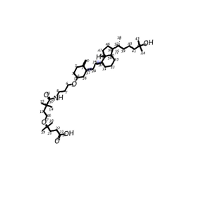 C=C1CC[C@H](OCCCNC(=O)C(C)(C)CCOC(C)(C)CCC(=O)O)C/C1=C/C=C1\CCC[C@]2(C)C([C@H](C)CCCC(C)(C)O)CC[C@@H]12